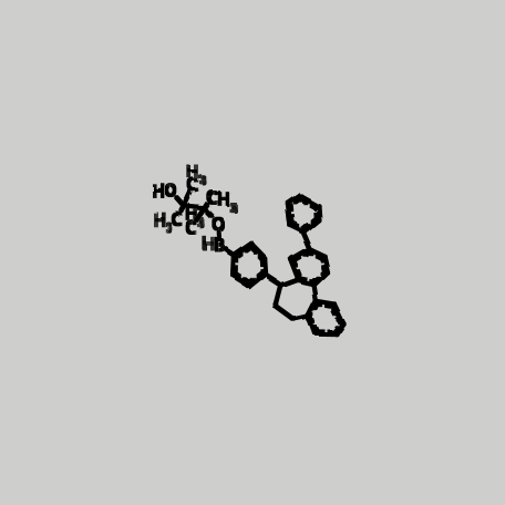 CC(C)(O)C(C)(C)OBc1ccc(C2CCc3ccccc3-c3ccc(-c4ccccc4)cc32)cc1